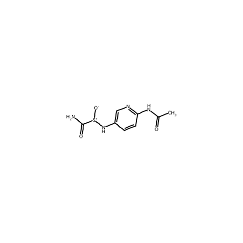 CC(=O)Nc1ccc(N[S+]([O-])C(N)=O)cn1